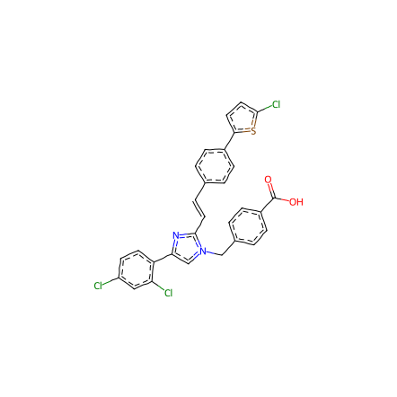 O=C(O)c1ccc(Cn2cc(-c3ccc(Cl)cc3Cl)nc2/C=C/c2ccc(-c3ccc(Cl)s3)cc2)cc1